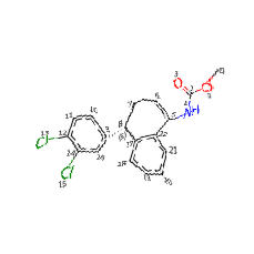 COC(=O)NC1=CC[C@@H](c2ccc(Cl)c(Cl)c2)c2ccccc21